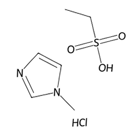 CCS(=O)(=O)O.Cl.Cn1ccnc1